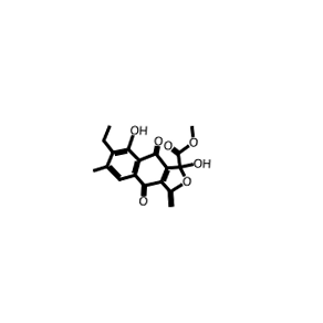 C=C1OC(O)(C(=O)OC)C2=C1C(=O)c1cc(C)c(CC)c(O)c1C2=O